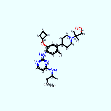 CNCC(C)Nc1ccnc(Nc2cc(C)c(C3CCN(C(C)(C)CO)CC3)cc2OC2CCC2)n1